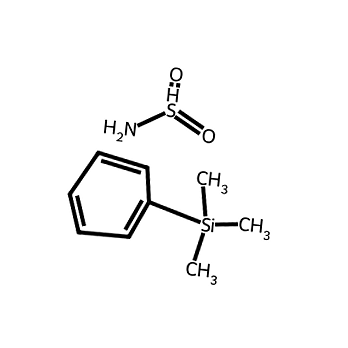 C[Si](C)(C)c1ccccc1.N[SH](=O)=O